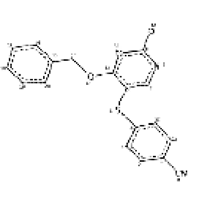 N#Cc1ccc(Sc2cnc(Cl)nc2OCc2ccccc2)cc1